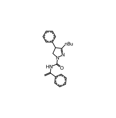 C=C(NC(=O)N1CC(c2ccccc2)C(CCCC)=N1)c1ccccc1